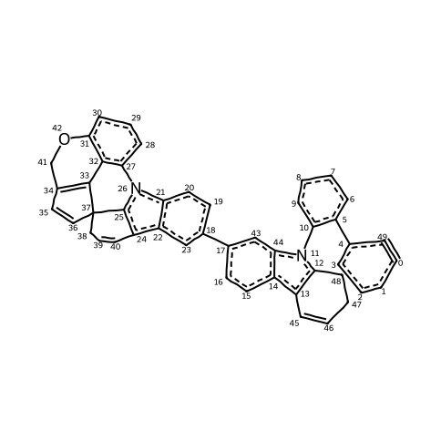 c1cccc(-c2ccccc2-n2c3c(c4ccc(-c5ccc6c(c5)c5c7n6-c6cccc8c6C6=C(C=CC67CC=C5)CO8)cc42)C=CCC3)c#1